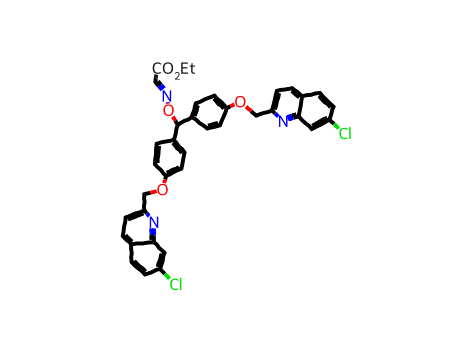 CCOC(=O)C=NOC(c1ccc(OCc2ccc3ccc(Cl)cc3n2)cc1)c1ccc(OCc2ccc3ccc(Cl)cc3n2)cc1